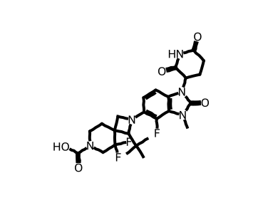 Cn1c(=O)n(C2CCC(=O)NC2=O)c2ccc(N3CC4(CCN(C(=O)O)CC4(F)F)C3C(C)(C)C)c(F)c21